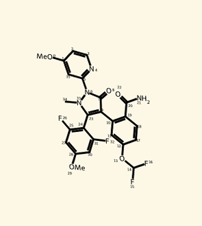 COc1ccnc(-n2c(=O)c(-c3cc(OC(F)F)ccc3C(N)=O)c(-c3c(F)cc(OC)cc3F)n2C)c1